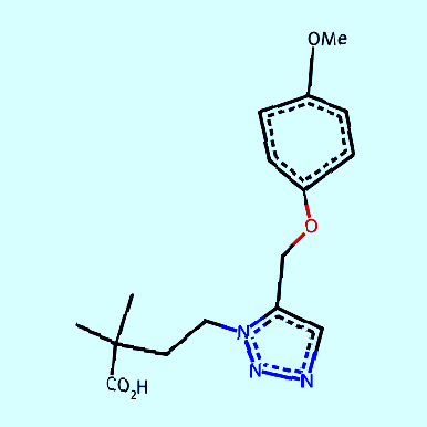 COc1ccc(OCc2cnnn2CCC(C)(C)C(=O)O)cc1